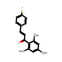 COc1cc(OC)c(C(=O)C=Cc2ccc(F)cc2)c(OC)c1